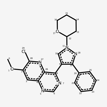 COc1cc2ncnc(-c3cn(C4CCCCO4)nc3-c3ccccc3)c2nc1Cl